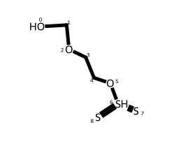 OCOCCO[SH](=S)=S